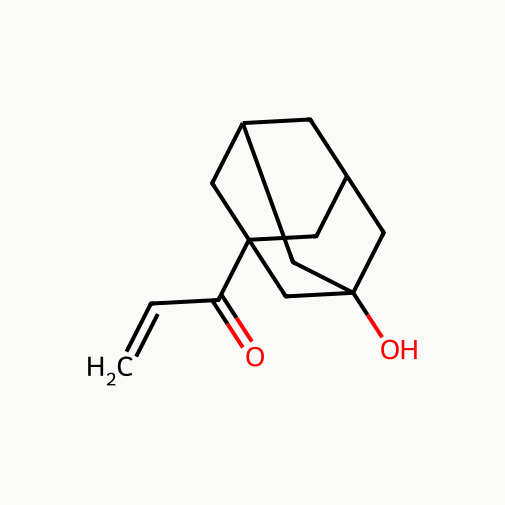 C=CC(=O)C12CC3CC(CC(O)(C3)C1)C2